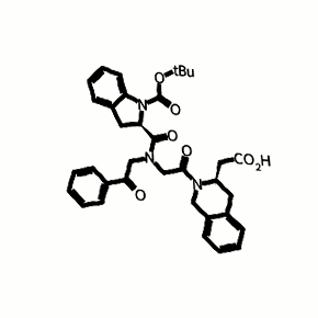 CC(C)(C)OC(=O)N1c2ccccc2C[C@@H]1C(=O)N(CC(=O)c1ccccc1)CC(=O)N1Cc2ccccc2C[C@@H]1CC(=O)O